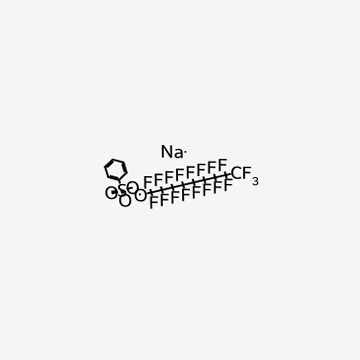 O=S(=O)(OOC(F)(F)C(F)(F)C(F)(F)C(F)(F)C(F)(F)C(F)(F)C(F)(F)C(F)(F)C(F)(F)F)c1ccccc1.[Na]